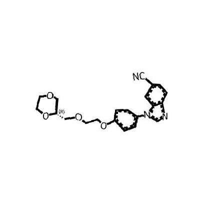 N#Cc1ccc2ncn(-c3ccc(OCCOC[C@H]4COCCO4)cc3)c2c1